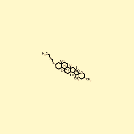 CCOCO[C@H]1CC[C@]2(C)[C@H]3CC[C@]4(C)[C@@H]5[C@H](C[C@H]4[C@@H]3CC[C@@]2(O)C1)O[C@]1(CC[C@@H](C)CO1)[C@H]5C